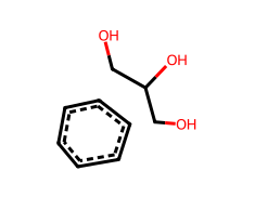 OCC(O)CO.c1ccccc1